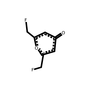 O=c1cc(CF)oc(CF)c1